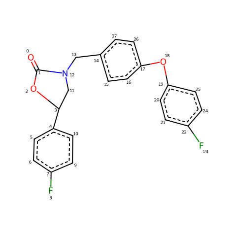 O=C1OC(c2ccc(F)cc2)CN1Cc1ccc(Oc2ccc(F)cc2)cc1